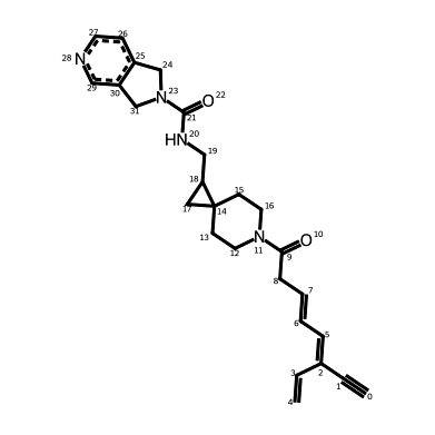 C#C/C(C=C)=C/C=C/CC(=O)N1CCC2(CC1)CC2CNC(=O)N1Cc2ccncc2C1